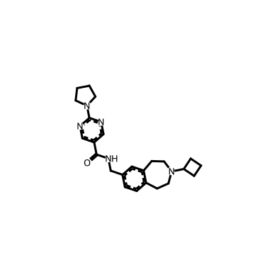 O=C(NCc1ccc2c(c1)CCN(C1CCC1)CC2)c1cnc(N2CCCC2)nc1